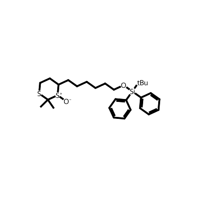 CC1(C)SCCC(CCCCCCO[Si](c2ccccc2)(c2ccccc2)C(C)(C)C)[S+]1[O-]